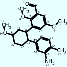 COc1cc(C=O)c(OC)c(C2CC(OC)CCC2c2ccc(C)c(N)c2)c1